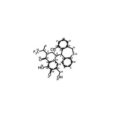 CC(N1CN([C@@H]2c3ccccc3SCc3cccc(Cl)c32)n2cc(CO)c(=O)c(O)c2C1=O)C(F)(F)F